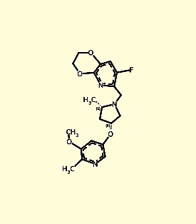 COc1cc(O[C@@H]2C[C@H](C)N(Cc3nc4c(cc3F)OCCO4)C2)cnc1C